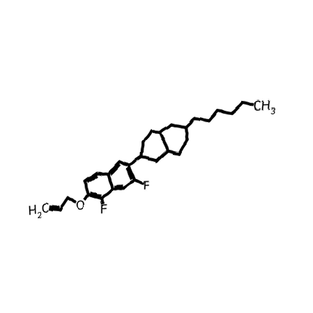 C=CCOc1ccc2cc(C3CCC4CC(CCCCCC)CCC4C3)c(F)cc2c1F